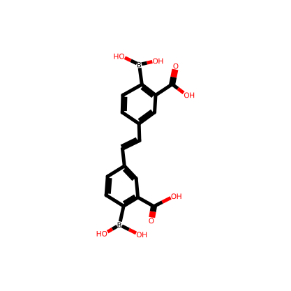 O=C(O)c1cc(/C=C/c2ccc(B(O)O)c(C(=O)O)c2)ccc1B(O)O